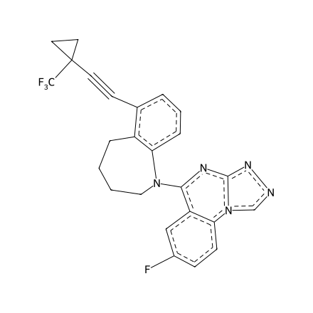 Fc1ccc2c(c1)c(N1CCCCc3c(C#CC4(C(F)(F)F)CC4)cccc31)nc1nncn12